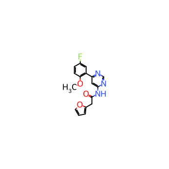 COc1ccc(F)cc1-c1cc(NC(=O)Cc2ccco2)ncn1